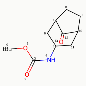 CC(C)(C)OC(=O)NC1CC2CCC(C1)C2=O